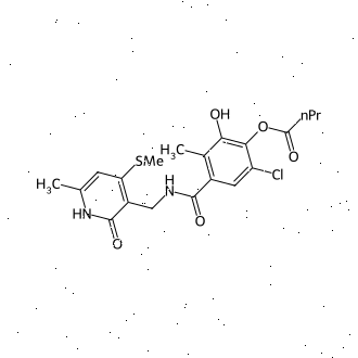 CCCC(=O)Oc1c(Cl)cc(C(=O)NCc2c(SC)cc(C)[nH]c2=O)c(C)c1O